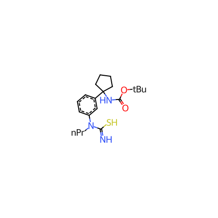 CCCN(C(=N)S)c1cccc(C2(NC(=O)OC(C)(C)C)CCCC2)c1